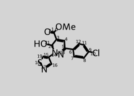 COC(=O)C1=CC(c2ccc(Cl)cc2)=NN(c2cnsc2)C1O